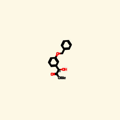 COC(=O)[C@H](O)c1cccc(OCc2ccccc2)c1